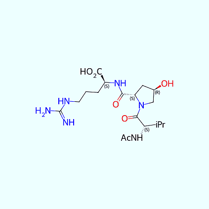 CC(=O)N[C@H](C(=O)N1C[C@H](O)C[C@H]1C(=O)N[C@@H](CCCNC(=N)N)C(=O)O)C(C)C